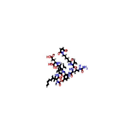 C=C/C=C\C=C(/C)C(C)(C)[C@@H](C(=O)N[C@H](C(=O)N(C)[C@H](/C=C(\C)C(=O)N[C@H](CCC(=O)O)C(=O)O)C(C)C)C(C)(C)C)N(C)C(=O)OCc1ccc(NC(=O)[C@H](CCCNC(N)=O)NC(=O)[C@@H](NC(=O)CCCCCN2C(=O)C=CC2=O)C(C)C)cc1